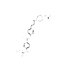 N=C(N)Nc1ccc(C(=O)Oc2ccc(/C=C/C(=O)N3CCN(CC(N)=O)CC3)cc2)cc1